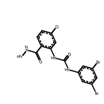 CCCNC(=O)c1ccc(Cl)cc1NC(=O)Nc1cc(Br)cc(Br)c1